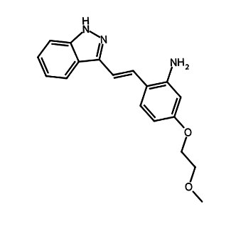 COCCOc1ccc(C=Cc2n[nH]c3ccccc23)c(N)c1